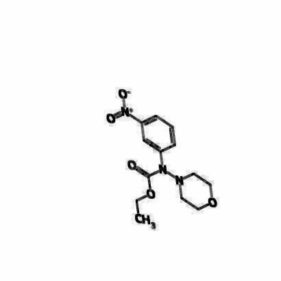 CCOC(=O)N(c1cccc([N+](=O)[O-])c1)N1CCOCC1